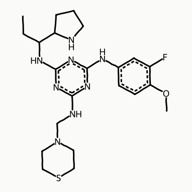 CCC(Nc1nc(NCN2CCSCC2)nc(Nc2ccc(OC)c(F)c2)n1)C1CCCN1